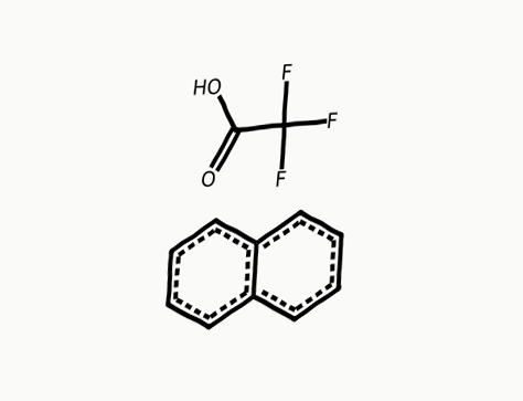 O=C(O)C(F)(F)F.c1ccc2ccccc2c1